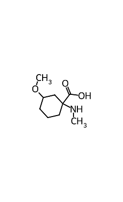 CNC1(C(=O)O)CCCC(OC)C1